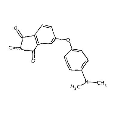 CN(C)c1ccc(Oc2ccc3c(=O)c(=O)c(=O)c3c2)cc1